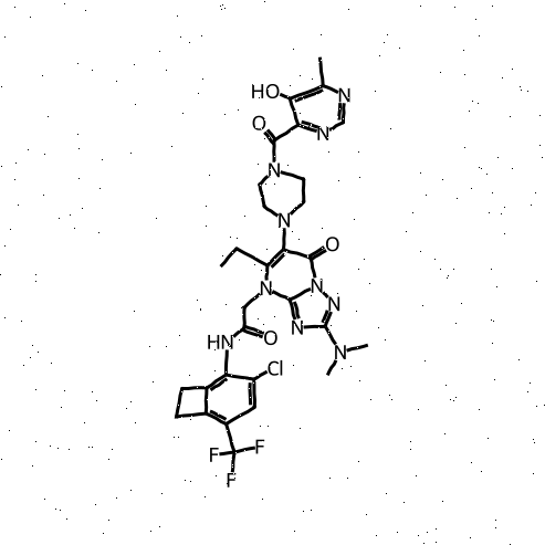 CCc1c(N2CCN(C(=O)c3ncnc(C)c3O)CC2)c(=O)n2nc(N(C)C)nc2n1CC(=O)Nc1c(Cl)cc(C(F)(F)F)c2c1CC2